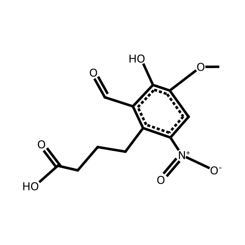 COc1cc([N+](=O)[O-])c(CCCC(=O)O)c(C=O)c1O